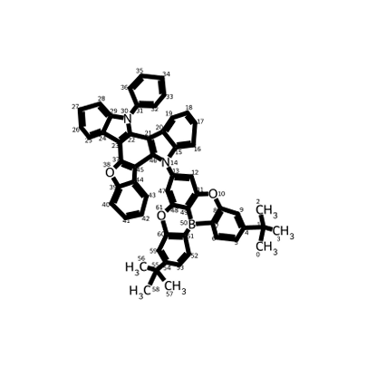 CC(C)(C)c1ccc2c(c1)Oc1cc(-n3c4ccccc4c4c5c(c6ccccc6n5-c5ccccc5)c5oc6ccccc6c5c43)cc3c1B2c1ccc(C(C)(C)C)cc1O3